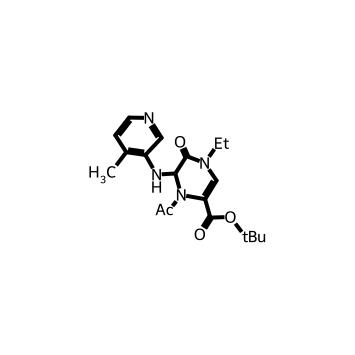 CCN1C=C(C(=O)OC(C)(C)C)N(C(C)=O)C(Nc2cnccc2C)C1=O